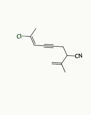 C=C(C)C(C#N)CC#C/C=C(\C)Cl